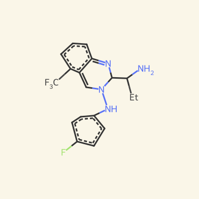 CCC(N)C1N=c2cccc(C(F)(F)F)c2=CN1Nc1ccc(F)cc1